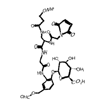 COCCC(=O)NCC(NC(=O)CN1C(=O)C=CC1=O)C(=O)NCC(=O)Nc1cc(COC=O)ccc1O[C@@H]1O[C@H](C(=O)O)[C@@H](O)[C@H](O)[C@H]1O